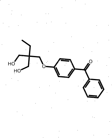 CCC(CO)(CO)COc1ccc(C(=O)c2ccccc2)cc1